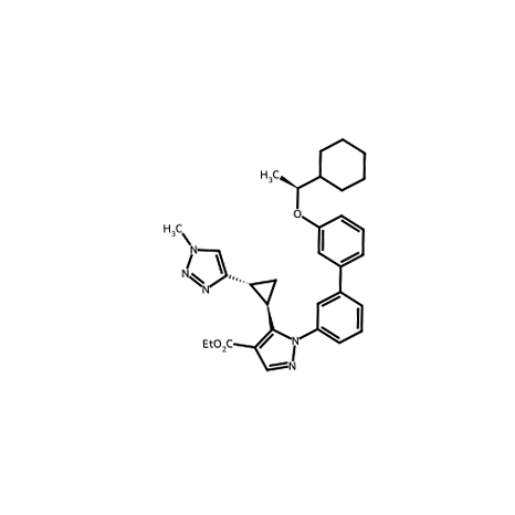 CCOC(=O)c1cnn(-c2cccc(-c3cccc(O[C@@H](C)C4CCCCC4)c3)c2)c1[C@@H]1C[C@H]1c1cn(C)nn1